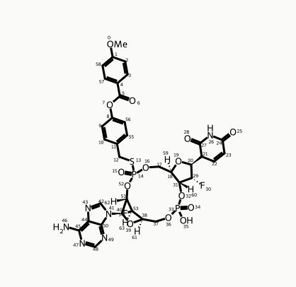 COc1ccc(C(=O)Oc2ccc(CSP3(=O)OC[C@H]4O[C@@H](C5C=CC(=O)NC5=O)[C@H](F)[C@@H]4OP(=O)(O)OC[C@H]4O[C@@H](n5cnc6c(N)ncnc65)[C@H](O3)[C@@H]4F)cc2)cc1